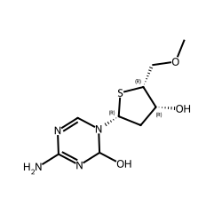 COC[C@H]1S[C@@H](N2C=NC(N)=NC2O)C[C@H]1O